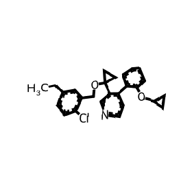 CCc1ccc(Cl)c(COC2(c3cnccc3-c3ccccc3OC3CC3)CC2)c1